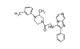 Cc1cccc(N2CCN(C(=O)CNc3c(-c4ccccc4)nc4cnccn34)CC2C)c1